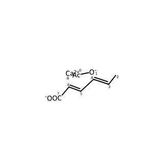 CC(=O)[O-].CC=CC=CC(=O)[O-].[Ca+2]